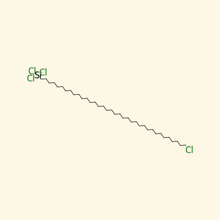 ClCCCCCCCCCCCCCCCCCCCCCCCCCCCCCCCCCCCC[Si](Cl)(Cl)Cl